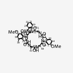 COc1ccc(CC2C(=O)N[C@@H](C)C(=O)N(C)[C@@H](Cc3ccccc3)C(=O)N(C)[C@@H](Cc3cc(OC)c(OC)cc3C)C(=O)N[C@H](C)C(=O)N[C@@H](C)C(=O)N2C)cc1